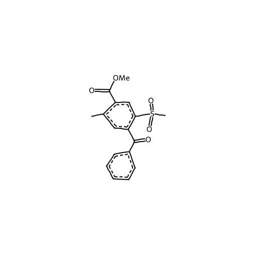 COC(=O)c1cc(S(C)(=O)=O)c(C(=O)c2ccccc2)cc1C